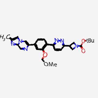 COCOc1cc(-c2cn3cc(C)nc3cn2)ccc1-c1ccc(C2CN(C(=O)OC(C)(C)C)C2)nn1